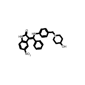 O=C1Nc2ccc([N+](=O)[O-])cc2C1=C(Nc1ccc(CN2CCC(O)CC2)cc1)c1ccccc1